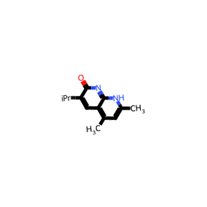 Cc1cc(C)c2cc(C(C)C)c(=O)nc-2[nH]1